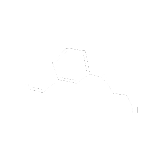 O=Cc1cccc(OCCCl)c1